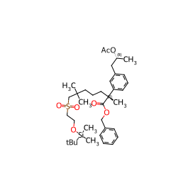 CC(=O)O[C@H](C)Cc1cccc([C@@](C)(CCCC(C)(C)CS(=O)(=O)CCO[Si](C)(C)C(C)(C)C)C(=O)OCc2ccccc2)c1